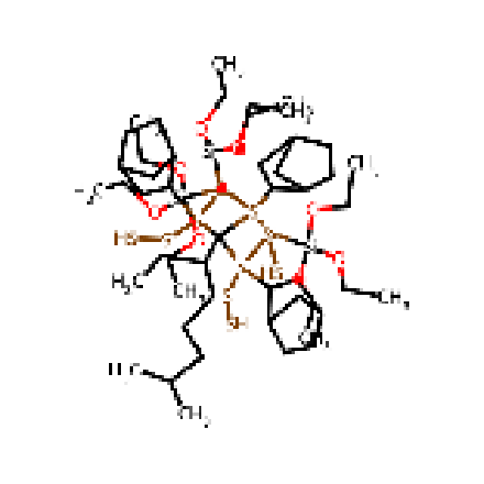 CCO[Si](OCC)(OCC)SS(SS)(C1CC2CCC1C2)C(C(CC)CCCC(C)C)(S(SS)(S[Si](OCC)(OCC)OCC)C1CC2CCC1C2)S(SS)(S[Si](OCC)(OCC)OCC)C1CC2CCC1C2